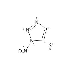 O=[N+]([O-])n1ccnn1.[K+]